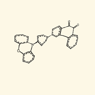 O=C1C(=O)c2ccc(-c3ccc(N4c5ccccc5Oc5ccccc54)cc3)cc2-c2ccccc21